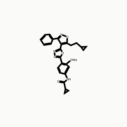 COc1cc(NC(=O)C2CC2)ccc1-c1nnc(-c2c(-c3ccccc3)noc2CCC2CC2)o1